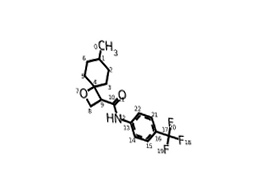 CC1CCC2(CC1)OCC2C(=O)Nc1ccc(C(F)(F)F)cc1